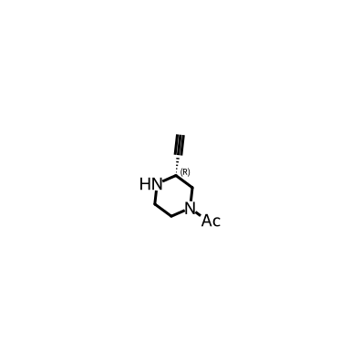 C#C[C@@H]1CN(C(C)=O)CCN1